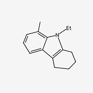 CCn1c2c(c3cccc(C)c31)CCCC2